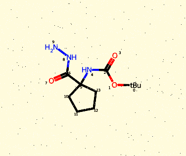 CC(C)(C)OC(=O)NC1(C(=O)NN)CCCC1